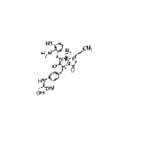 C=CCN1CC(=O)N([C@@H](Cc2ccc(NC(O)CO)cc2)C(=O)NCc2cccc(S)c2N)[C@@H]1C